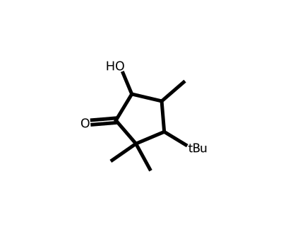 CC1C(O)C(=O)C(C)(C)C1C(C)(C)C